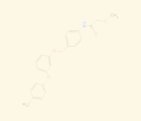 COCC(=O)Nc1ccc(COc2cccc(Oc3ccc(C)cc3)c2)cc1